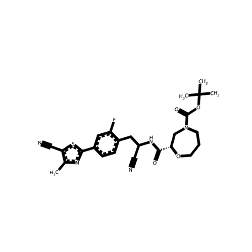 Cc1nc(-c2ccc(CC(C#N)NC(=O)[C@@H]3CN(C(=O)OC(C)(C)C)CCCO3)c(F)c2)sc1C#N